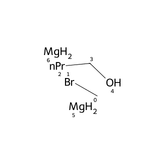 CBr.CCCCO.[MgH2].[MgH2]